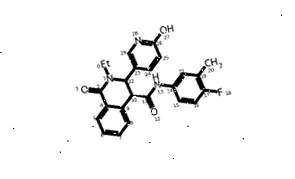 CCN1C(=O)c2ccccc2[C@H](C(=O)Nc2ccc(F)c(C)c2)C1c1ccc(O)nc1